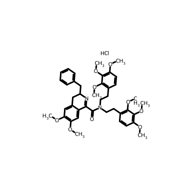 COc1cc2c(cc1OC)C(C(=O)N(CCc1ccc(OC)c(OC)c1OC)CCc1ccc(OC)c(OC)c1OC)=NC(Cc1ccccc1)C2.Cl